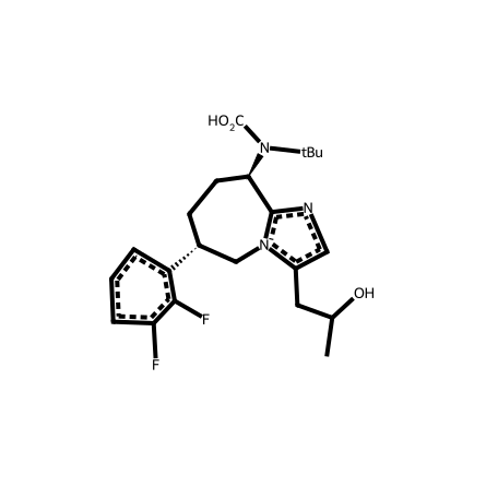 CC(O)Cc1cnc2n1C[C@H](c1cccc(F)c1F)CC[C@H]2N(C(=O)O)C(C)(C)C